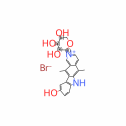 Cc1c2cc[n+]([C@@H]3OC[C@H](O)[C@H](O)[C@H]3O)cc2c(C)c2c1[nH]c1ccc(O)cc12.[Br-]